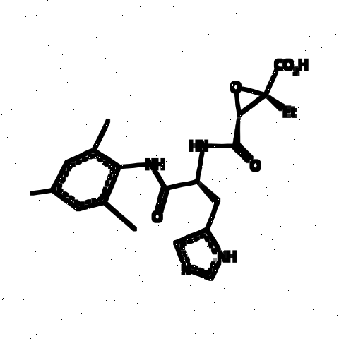 CC[C@]1(C(=O)O)O[C@@H]1C(=O)N[C@@H](Cc1cnc[nH]1)C(=O)Nc1c(C)cc(C)cc1C